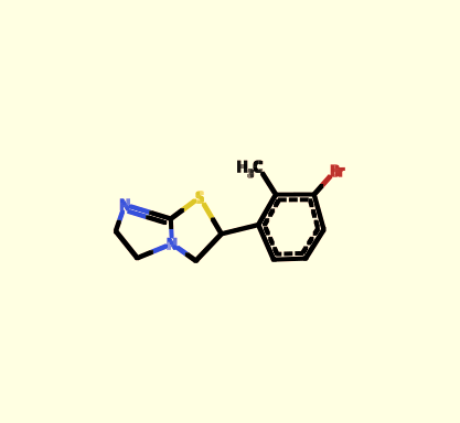 Cc1c(Br)cccc1C1CN2CCN=C2S1